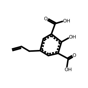 C=CCc1cc(C(=O)O)c(O)c(C(=O)O)c1